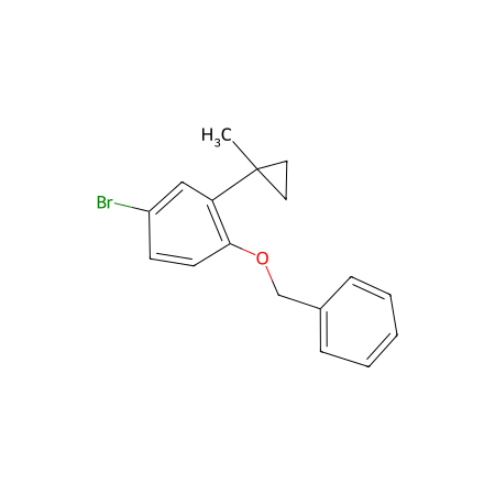 CC1(c2cc(Br)ccc2OCc2ccccc2)CC1